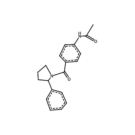 CC(=O)Nc1ccc(C(=O)N2CCCC2c2ccccc2)cc1